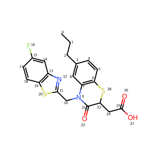 CCCc1ccc2c(c1)N(Cc1nc3cc(F)ccc3s1)C(=O)C(CC(=O)O)S2